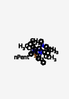 CCCCCc1ccc(Nc2cc3c(cc2-c2cc(N(c4ccccc4)c4ccccc4)c4c5cc6c(cc5n5c4c2Bc2sc4ccc(-c7ccccc7)cc4c2-5)C(C)(C)CCC6(C)C)C(C)(C)CCC3(C)C)cc1